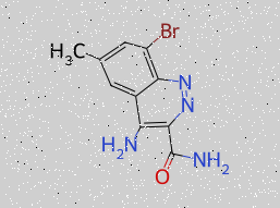 Cc1cc(Br)c2nnc(C(N)=O)c(N)c2c1